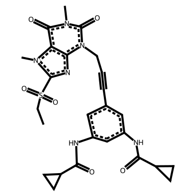 CCS(=O)(=O)c1nc2c(c(=O)n(C)c(=O)n2CC#Cc2cc(NC(=O)C3CC3)cc(NC(=O)C3CC3)c2)n1C